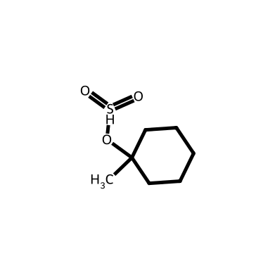 CC1(O[SH](=O)=O)CCCCC1